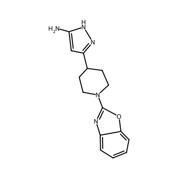 Nc1cc(C2CCN(c3nc4ccccc4o3)CC2)n[nH]1